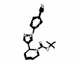 CC(C)(C)OC(=O)N1CC=CCC1c1cnn(-c2ccc(C#N)cc2)c1